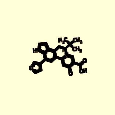 CC(C)(C)[C@@H]1Cc2c(cc(-c3ccoc3)c3[nH]ccc23)-c2cc(=O)c(C(=O)O)cn21